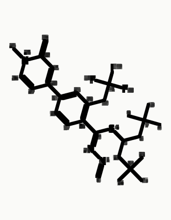 C=N/N=C(\SC(CC(C)(C)C)CC(C)(C)C)c1ccc(C2=CC(=C)N(C)C=C2)cc1CC(F)(F)F